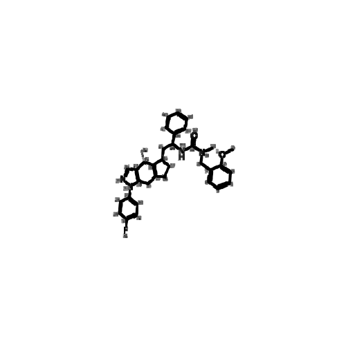 COc1ccccc1CN(C)C(=O)NC(C[C@H]1CCC2=C1[C@@H](C)c1cnn(-c3ccc(F)cc3)c1C2)c1ccccc1